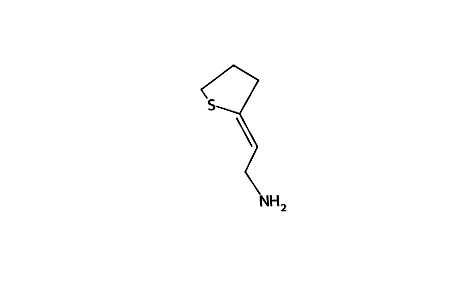 NCC=C1CCCS1